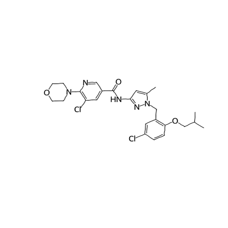 Cc1cc(NC(=O)c2cnc(N3CCOCC3)c(Cl)c2)nn1Cc1cc(Cl)ccc1OCC(C)C